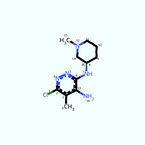 Cc1c(Cl)nnc(N[C@@H]2CCCN(C)C2)c1N